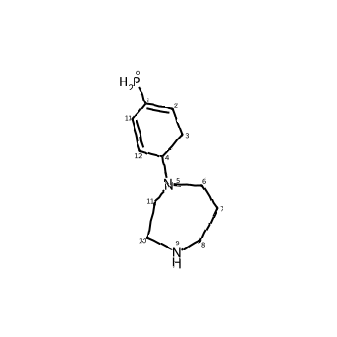 PC1=CCC(N2CCCNCC2)C=C1